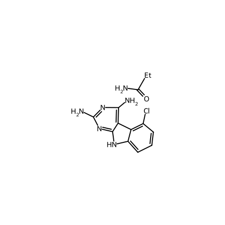 CCC(N)=O.Nc1nc(N)c2c(n1)[nH]c1cccc(Cl)c12